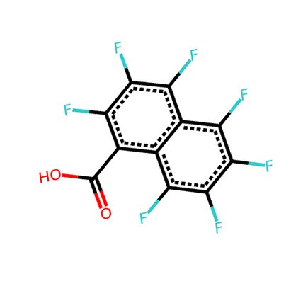 O=C(O)c1c(F)c(F)c(F)c2c(F)c(F)c(F)c(F)c12